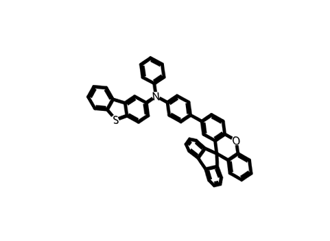 c1ccc(N(c2ccc(-c3ccc4c(c3)C3(c5ccccc5O4)c4ccccc4-c4ccccc43)cc2)c2ccc3sc4ccccc4c3c2)cc1